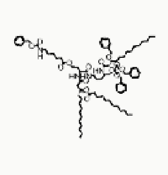 CCCCCCCCCCCC(=O)O[C@H](CCCCCCCCCCC)CC(=O)NC(CCOC(=O)CCCCCNC(=O)OCc1ccccc1)C(=O)NCCCC(COP(=O)(OCc1ccccc1)OCc1ccccc1)NC(=O)C[C@@H](CCCCCCCCCCC)OCc1ccccc1